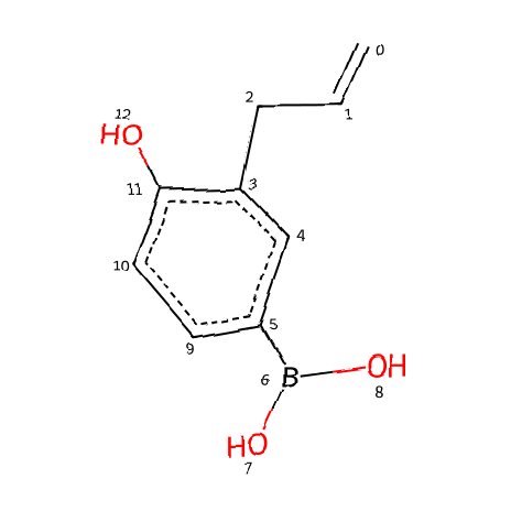 C=CCc1cc(B(O)O)ccc1O